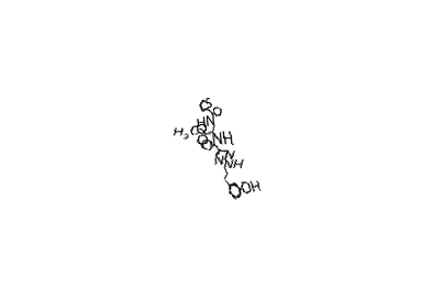 COC(=O)C(CNC(=O)c1cccs1)NC(=O)c1cnc(NCCCc2cccc(O)c2)nc1